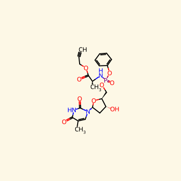 C#CCOC(=O)[C@H](C)NP(=O)(OC[C@@H]1O[C@H](n2cc(C)c(=O)[nH]c2=O)C[C@H]1O)Oc1ccccc1